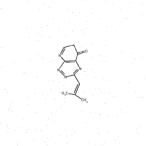 CC(C)=Cc1nnc2c(n1)C(=O)CC=N2